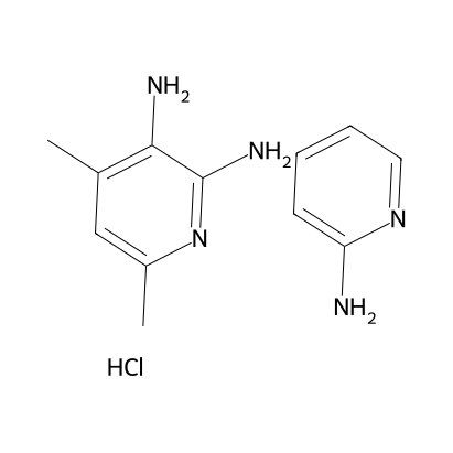 Cc1cc(C)c(N)c(N)n1.Cl.Nc1ccccn1